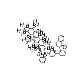 Bc1c(B)c(B)c(-c2c(B)c(B)c(-c3c(B)c(B)c(N(c4ccccc4)c4ccc(-c5cccc6oc7c8ccccc8ccc7c56)cc4)c(B)c3B)c(B)c2B)c(B)c1B